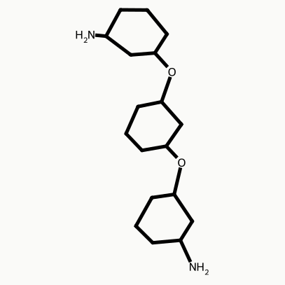 NC1CCCC(OC2CCCC(OC3CCCC(N)C3)C2)C1